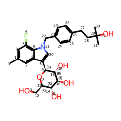 Cc1cc(F)c2c(c1)c([C@@H]1O[C@H](CO)[C@@H](O)[C@H](O)[C@H]1O)cn2Cc1ccc(CCC(C)(C)O)cc1